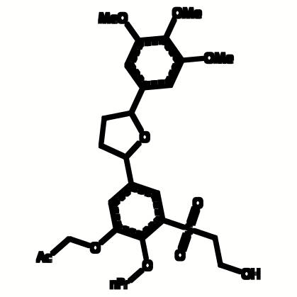 CCCOc1c(OCC(C)=O)cc(C2CCC(c3cc(OC)c(OC)c(OC)c3)O2)cc1S(=O)(=O)CCO